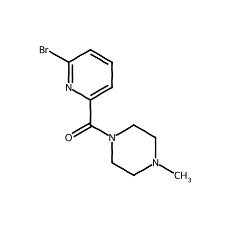 CN1CCN(C(=O)c2cccc(Br)n2)CC1